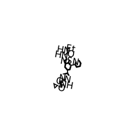 CCNC(=O)Nc1nc2cc(-c3cnc(NS(=O)(=O)C4CC4)nc3)cc(-c3ccccn3)c2s1